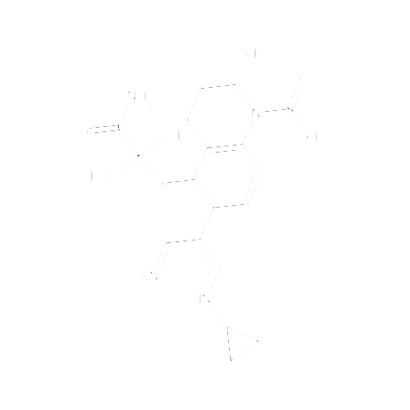 CC(=O)N1c2ccc(/C(C=N)=C/NC3CC3)c(OC(C)(C)C(N)=O)c2CC[C@@H]1C